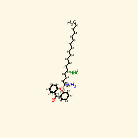 Br.CCCCCCCCCCCCCCCCCC(N)Oc1ccccc1C(=O)c1ccccc1